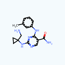 Cc1cccc(Nc2nc(NC3(CN)CC3)ncc2C(N)=O)c1